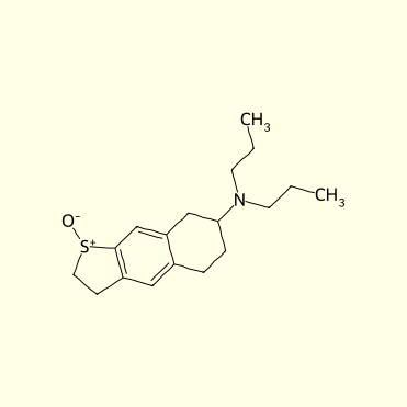 CCCN(CCC)C1CCc2cc3c(cc2C1)[S+]([O-])CC3